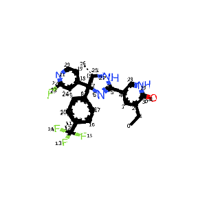 CCc1cc(C2=NC(c3ccc(C(F)(F)F)cc3)(c3ccnc(F)c3)[C@H](C)N2)c[nH]c1=O